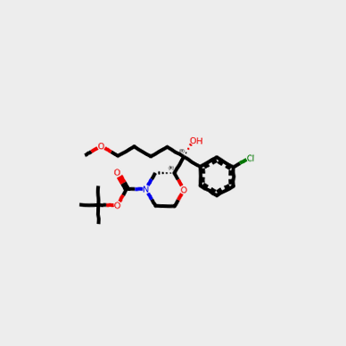 COCCCC[C@@](O)(c1cccc(Cl)c1)[C@H]1CN(C(=O)OC(C)(C)C)CCO1